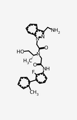 Cc1ccccc1-c1cccc(NC(=O)CN(C(=O)Cn2nc(CN)c3ccccc32)[C@H](C)CO)c1F